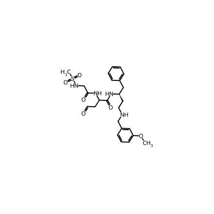 COc1cccc(CNCC[C@H](Cc2ccccc2)NC(=O)C(CC=O)NC(=O)CNS(C)(=O)=O)c1